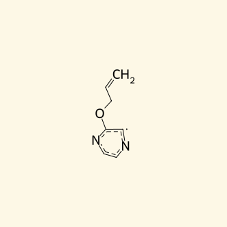 C=CCOc1[c]nccn1